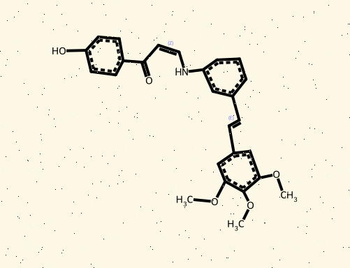 COc1cc(/C=C/c2cccc(N/C=C\C(=O)c3ccc(O)cc3)c2)cc(OC)c1OC